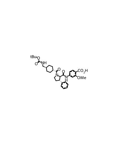 COc1cc(NC(=O)C2[C@H](c3ccccc3)CCN2C(=O)[C@H]2CC[C@H](CNC(=O)OC(C)(C)C)CC2)ccc1C(=O)O